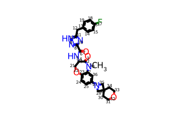 CN1C(=O)[C@@H](NC(=O)c2n[nH]c(Cc3ccc(F)cc3)n2)COc2ccc(N3CC4(CCOCC4)C3)cc21